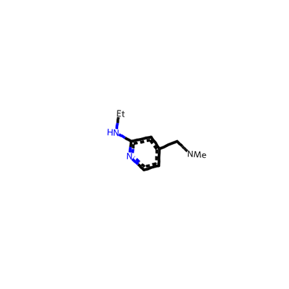 CCNc1cc(CNC)ccn1